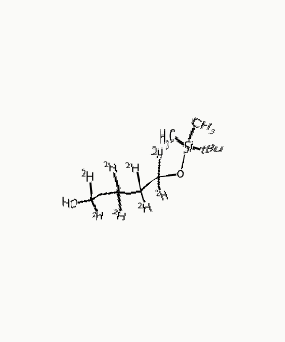 [2H]C([2H])(O)C([2H])([2H])C([2H])([2H])C([2H])([2H])O[Si](C)(C)C(C)(C)C